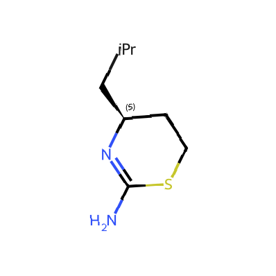 CC(C)C[C@H]1CCSC(N)=N1